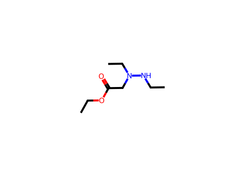 CCNN(CC)CC(=O)OCC